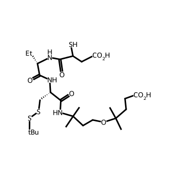 CC[C@H](NC(=O)C(S)CC(=O)O)C(=O)N[C@@H](CSSC(C)(C)C)C(=O)NC(C)(C)CCOC(C)(C)CCC(=O)O